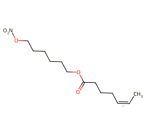 C/C=C\CCCC(=O)OCCCCCCO[N+](=O)[O-]